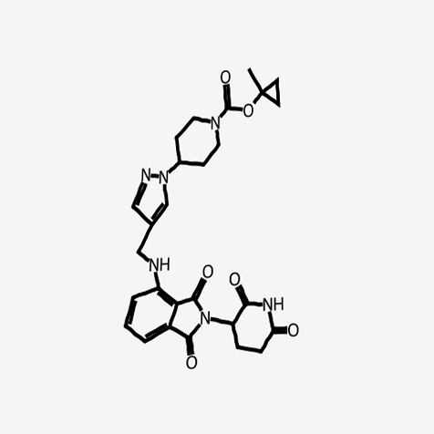 CC1(OC(=O)N2CCC(n3cc(CNc4cccc5c4C(=O)N(C4CCC(=O)NC4=O)C5=O)cn3)CC2)CC1